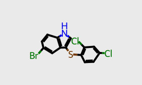 Clc1ccc(Sc2c[nH]c3ccc(Br)cc23)c(Cl)c1